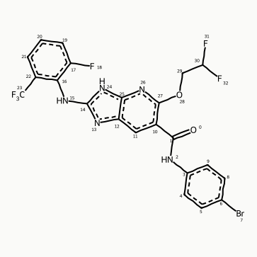 O=C(Nc1ccc(Br)cc1)c1cc2nc(Nc3c(F)cccc3C(F)(F)F)[nH]c2nc1OCC(F)F